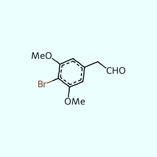 COc1cc(CC=O)cc(OC)c1Br